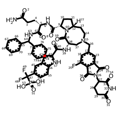 NC(=O)CC[C@H](NC(=O)[C@@H]1CC[C@@H]2CCN(Cc3cc(F)c4c(c3)C(=O)N(C3CCC(=O)NC3=O)C4=O)C[C@H](NC(=O)c3cc4cc(C(F)(F)P(=O)(O)O)ccc4[nH]3)C(=O)N21)C(=O)NC(c1ccccc1)c1ccccc1